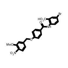 COc1cc(COc2ccc(C(=O)Nc3ccc(Br)cc3C(=O)O)cc2)ccc1[N+](=O)[O-]